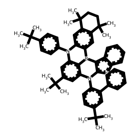 CC(C)(C)c1ccc(N2c3cc4c(cc3B3c5c2cc(C(C)(C)C)cc5N(c2ccc(C(C)(C)C)cc2-c2ccccc2)c2oc5ccccc5c23)C(C)(C)CCC4(C)C)cc1